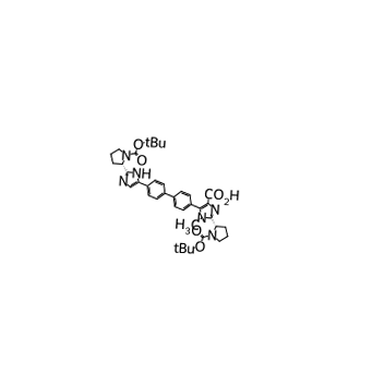 Cn1c([C@@H]2CCCN2C(=O)OC(C)(C)C)nc(C(=O)O)c1-c1ccc(-c2ccc(-c3cnc([C@@H]4CCCN4C(=O)OC(C)(C)C)[nH]3)cc2)cc1